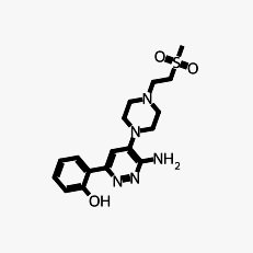 CS(=O)(=O)CCN1CCN(c2cc(-c3ccccc3O)nnc2N)CC1